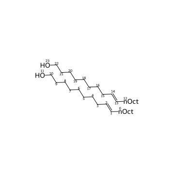 CCCCCCCCC=CCCCCCCCCO.CCCCCCCCC=CCCCCCCCCO